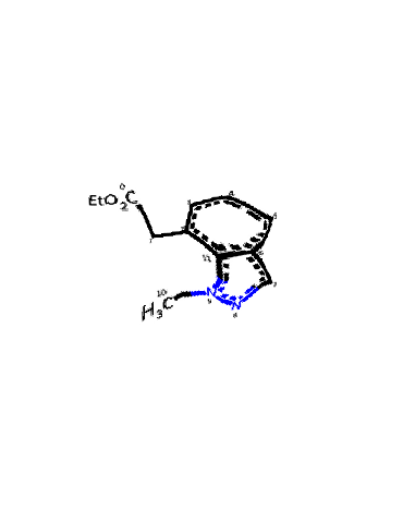 CCOC(=O)Cc1cccc2cnn(C)c12